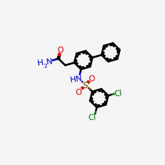 NC(=O)Cc1ccc(-c2ccccc2)cc1NS(=O)(=O)c1cc(Cl)cc(Cl)c1